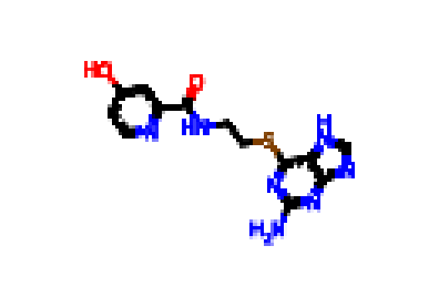 Nc1nc(SCCNC(=O)c2cc(O)ccn2)c2[nH]cnc2n1